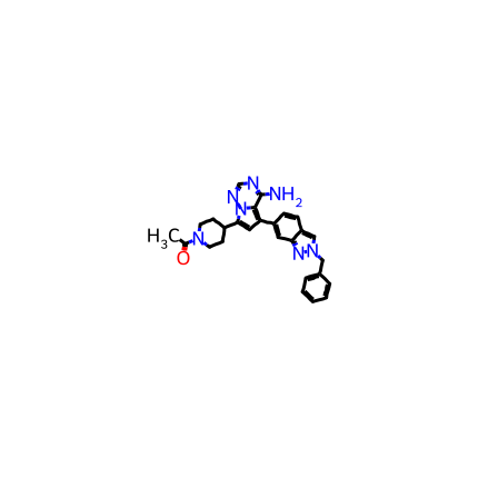 CC(=O)N1CCC(c2cc(-c3ccc4cn(Cc5ccccc5)nc4c3)c3c(N)ncnn23)CC1